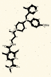 COc1ccc(N(Cc2cnccc2C)C2CCN([C@H](C)CCNC(=O)c3c(C)cc(C(=O)N(C)C)nc3C)CC2)cc1